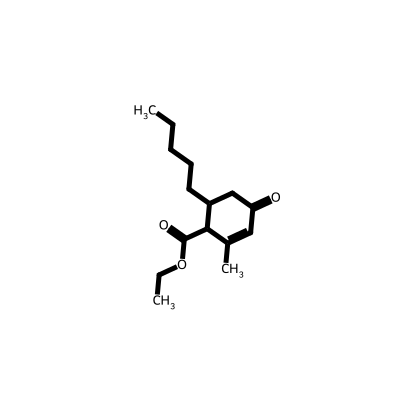 CCCCCC1CC(=O)C=C(C)C1C(=O)OCC